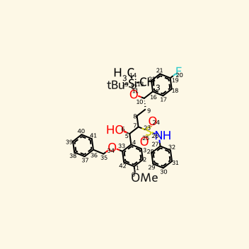 COc1ccc([C@@H](O)C(CC[C@H](O[Si](C)(C)C(C)(C)C)c2ccc(F)cc2)S(=O)(=O)Nc2ccccc2)c(OCc2ccccc2)c1